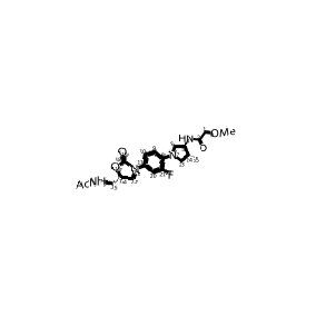 COCC(=O)N[C@@H]1CN(c2ccc(N3C[C@H](CNC(C)=O)OC3=O)cc2F)C[C@H]1C